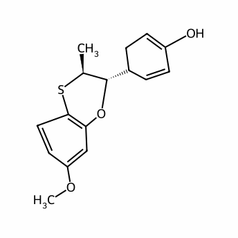 COc1ccc2c(c1)O[C@@H](C1C=CC(O)=CC1)[C@H](C)S2